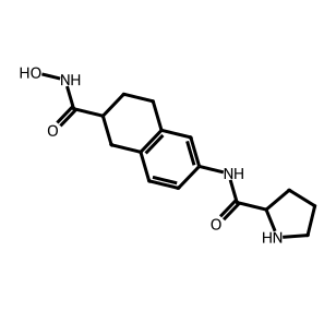 O=C(NO)C1CCc2cc(NC(=O)C3CCCN3)ccc2C1